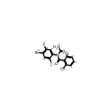 NC(=O)N(C(=O)c1c(Cl)cccc1Cl)c1cc(F)c(Br)cc1F